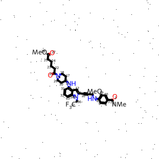 CNC(=O)c1ccc(NCC#Cc2cc3c(NC4CCN(C(=O)CCCCC(=O)OC)CC4)cccc3n2CC(F)(F)F)c(OC)c1